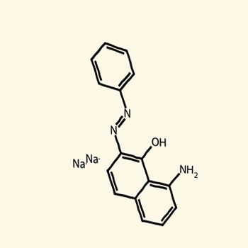 Nc1cccc2ccc(N=Nc3ccccc3)c(O)c12.[Na].[Na]